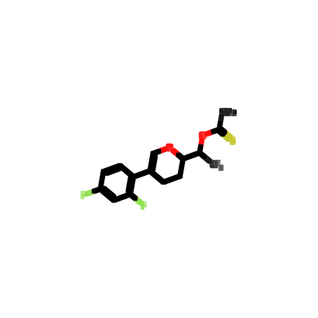 CSC(=S)OC(C1CCC(c2ccc(F)cc2F)=CO1)C(F)(F)F